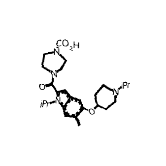 Cc1cc2c(cc1OC1CCN(C(C)C)CC1)cc(C(=O)N1CCN(C(=O)O)CC1)n2C(C)C